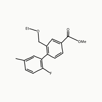 CCOCc1cc(C(=O)OC)ccc1-c1cc(C)ccc1F